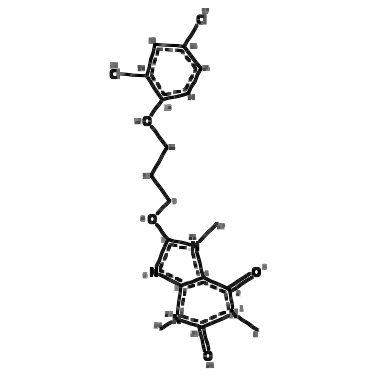 Cn1c(=O)c2c(nc(OCCCOc3ccc(Cl)cc3Cl)n2C)n(C)c1=O